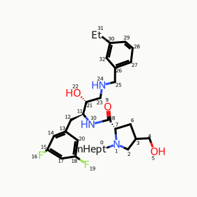 CCCCCCCN1CC(CO)C[C@H]1C(=O)N[C@@H](Cc1cc(F)cc(F)c1)[C@H](O)CNCc1cccc(CC)c1